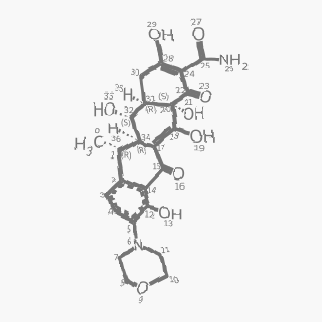 C[C@H]1c2ccc(N3CCOCC3)c(O)c2C(=O)C2=C(O)[C@]3(O)C(=O)C(C(N)=O)=C(O)C[C@@H]3[C@@H](O)[C@@H]21